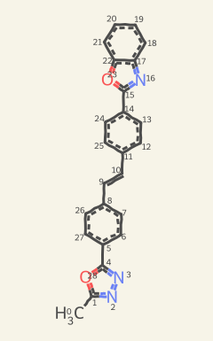 Cc1nnc(-c2ccc(C=Cc3ccc(-c4nc5ccccc5o4)cc3)cc2)o1